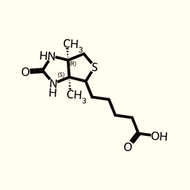 C[C@]12CSC(CCCCC(=O)O)[C@@]1(C)NC(=O)N2